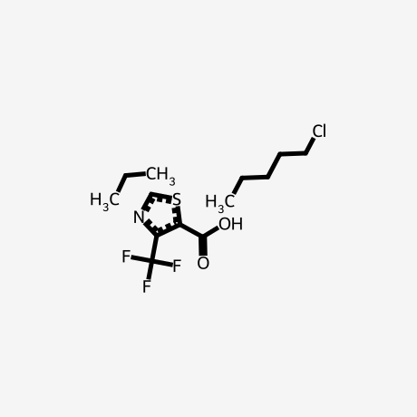 CCC.CCCCCCl.O=C(O)c1scnc1C(F)(F)F